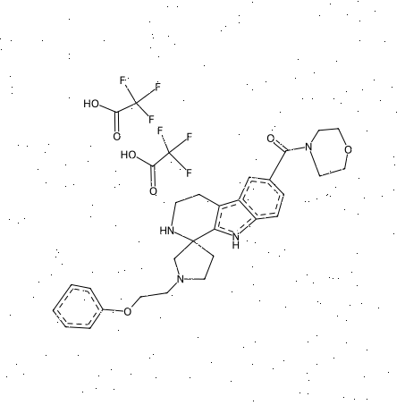 O=C(O)C(F)(F)F.O=C(O)C(F)(F)F.O=C(c1ccc2[nH]c3c(c2c1)CCNC31CCN(CCOc2ccccc2)C1)N1CCOCC1